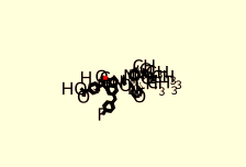 C[C@@H]1COCCN1C[C@H]1CN(C(=O)OC(C)(C)C)[C@H](C)CN1CC(=O)N1CC2(C)C(=O)N(c3ccc(C(=O)O)cc3)c3cc(Cc4ccc(F)cc4)cc1c32